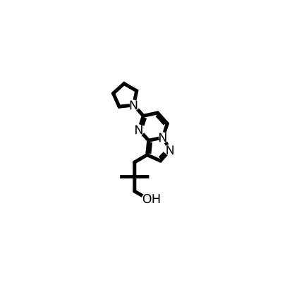 CC(C)(CO)Cc1cnn2ccc(N3CCCC3)nc12